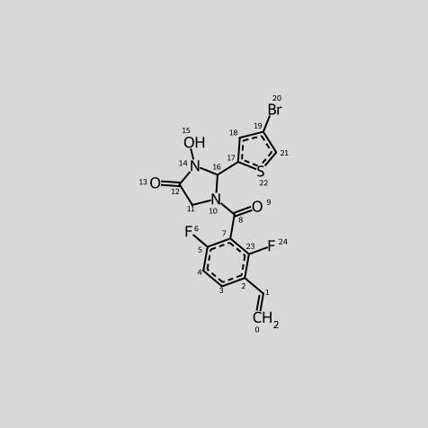 C=Cc1ccc(F)c(C(=O)N2CC(=O)N(O)C2c2cc(Br)cs2)c1F